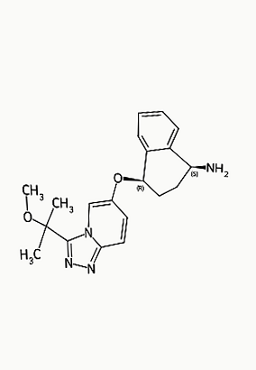 COC(C)(C)c1nnc2ccc(O[C@@H]3CC[C@H](N)c4ccccc43)cn12